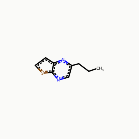 CCCc1cnc2sccc2n1